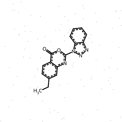 CCc1ccc2c(=O)oc(-n3nnc4ccccc43)nc2c1